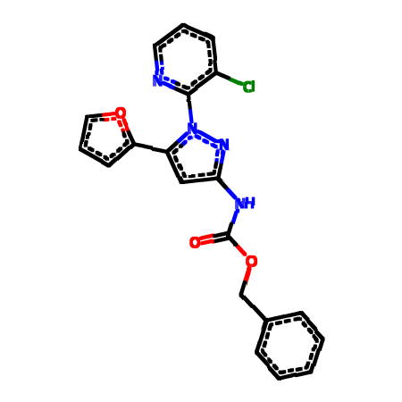 O=C(Nc1cc(-c2ccco2)n(-c2ncccc2Cl)n1)OCc1ccccc1